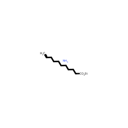 C=CCCCCCCCCC(=O)OCC.N